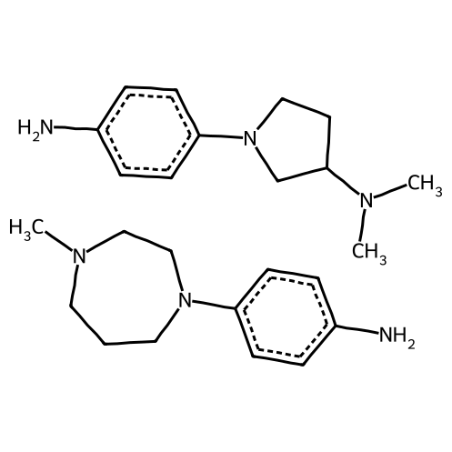 CN(C)C1CCN(c2ccc(N)cc2)C1.CN1CCCN(c2ccc(N)cc2)CC1